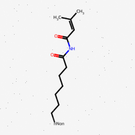 CCCCCCCCCCCCCCCC(=O)NC(=O)C=C(C)C